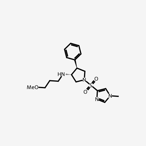 COCCCN[C@H]1CN(S(=O)(=O)c2cn(C)cn2)C[C@@H]1c1ccccc1